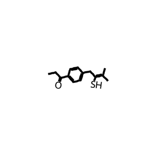 CCC(=O)c1ccc(CC(S)=C(C)C)cc1